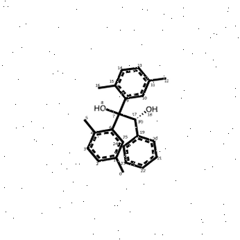 Cc1ccc(C)c(C(O)(c2cc(C)ccc2C)[C@H](O)c2ccccc2)c1